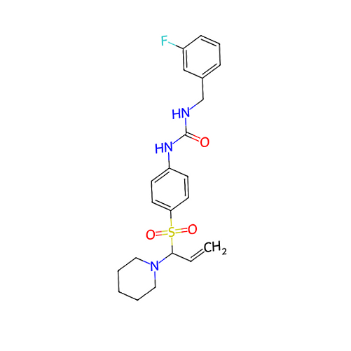 C=CC(N1CCCCC1)S(=O)(=O)c1ccc(NC(=O)NCc2cccc(F)c2)cc1